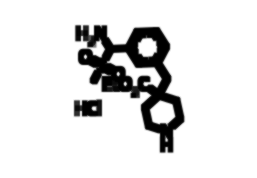 CCOC(=O)C1(Cc2cccc(C(N)S(C)(=O)=O)c2)CCNCC1.Cl